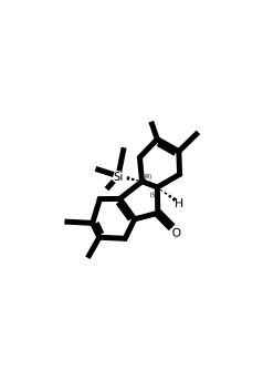 CC1=C(C)CC2=C(C1)C(=O)[C@@H]1CC(C)=C(C)C[C@]21[Si](C)(C)C